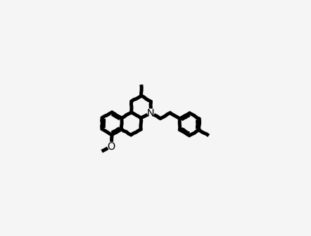 COc1cccc2c1CCC1C2CC(C)CN1CCc1ccc(C)cc1